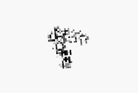 CC(C)N(Cc1ccccc1)c1ccc2c(c1)C1=CC(NC(=O)c3cnccn3)=CC=CC1O2.O=C(O)c1ccccc1